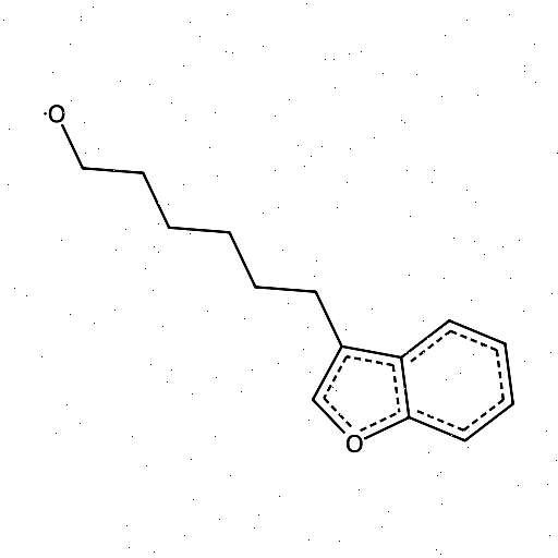 [O]CCCCCCc1coc2ccccc12